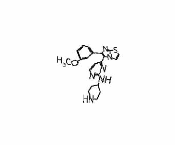 COc1cccc(-c2nc3sccn3c2-c2ccnc(NC3CCNCC3)n2)c1